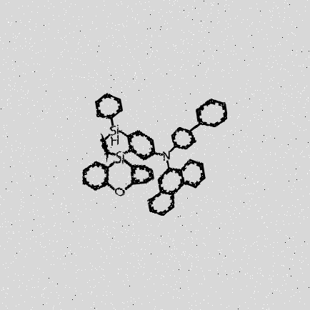 c1ccc(-c2ccc(N(c3ccc4c(c3)[Si]3(c5ccccc5Oc5ccccc53)c3ccccc3[SiH]4c3ccccc3)c3cc4ccccc4c4ccccc34)cc2)cc1